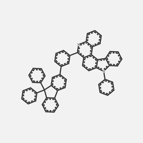 c1ccc(-n2c3ccccc3c3c4c(ccc32)c(-c2cccc(-c3ccc5c(c3)C(c3ccccc3)(c3ccccc3)c3ccccc3-5)c2)nc2ccccc24)cc1